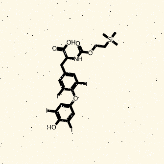 C[Si](C)(C)CCOC(=O)NC(Cc1cc(I)c(Oc2cc(I)c(O)c(I)c2)c(I)c1)C(=O)O